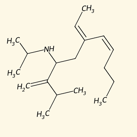 C=C(C(C)C)C(CC(/C=C\CCC)=C/C)NC(C)C